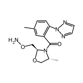 Cc1ccc(-n2nccn2)c(C(=O)N2[C@H](C)CO[C@H]2CON)c1